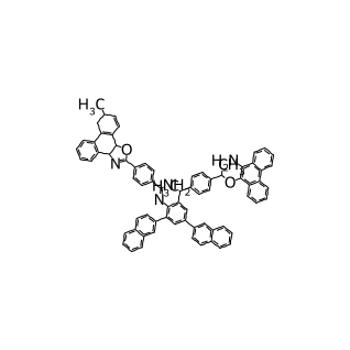 CC1C=CC2=C(C1)c1ccccc1C1N=C(c3ccc(/C(N)=N/c4c(-c5ccc6ccccc6c5)cc(-c5ccc6ccccc6c5)cc4C(C)c4ccc(C(C)Oc5c(N)c6ccccc6c6ccccc56)cc4)cc3)OC21